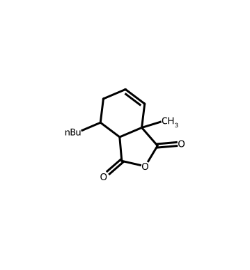 CCCCC1CC=CC2(C)C(=O)OC(=O)C12